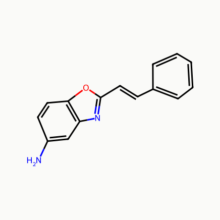 Nc1ccc2oc(C=Cc3ccccc3)nc2c1